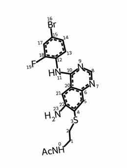 CC(=O)NCCSc1cc2ncnc(Nc3ccc(Br)cc3F)c2cc1N